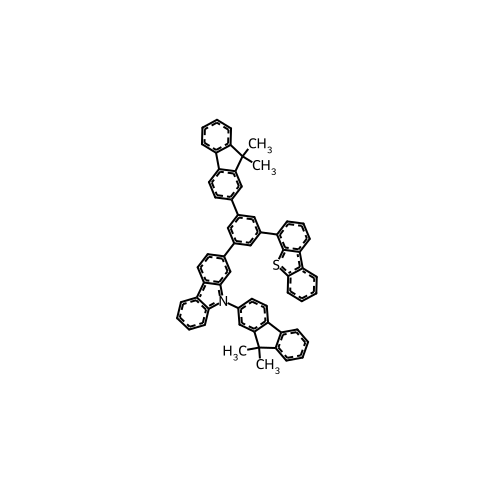 CC1(C)c2ccccc2-c2ccc(-c3cc(-c4ccc5c6ccccc6n(-c6ccc7c(c6)C(C)(C)c6ccccc6-7)c5c4)cc(-c4cccc5c4sc4ccccc45)c3)cc21